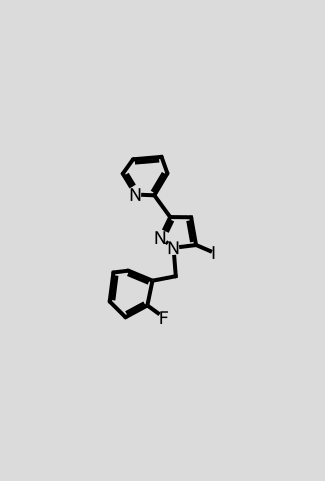 Fc1ccccc1Cn1nc(-c2ccccn2)cc1I